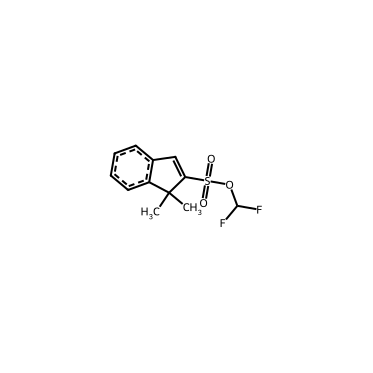 CC1(C)C(S(=O)(=O)OC(F)F)=Cc2ccccc21